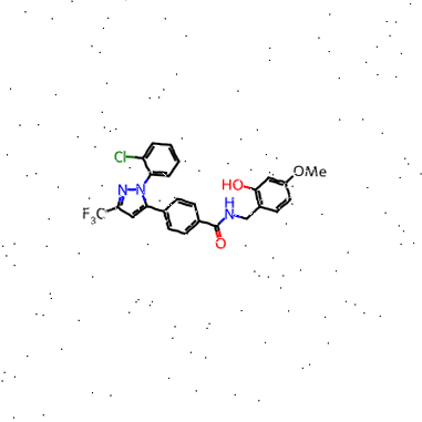 COc1ccc(CNC(=O)c2ccc(-c3cc(C(F)(F)F)nn3-c3ccccc3Cl)cc2)c(O)c1